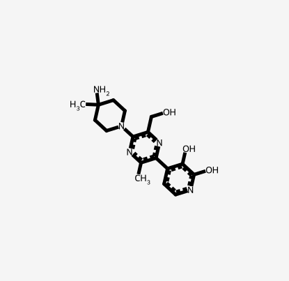 Cc1nc(N2CCC(C)(N)CC2)c(CO)nc1-c1ccnc(O)c1O